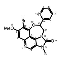 COc1cc2ncc3c4c2c(c1Br)OC(c1ccccn1)Cn4c(=O)n3C